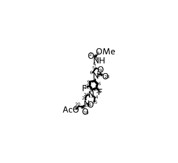 COC(=O)NC[C@H]1CN(c2cc(F)c(N3CCON(C(=O)COC(C)=O)CC3)c(F)c2)C(=O)O1